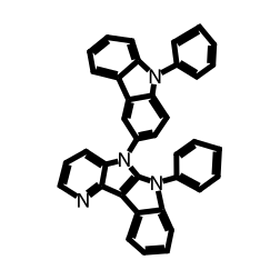 c1ccc(-n2c3ccccc3c3cc(-n4c5cccnc5c5c6ccccc6n(-c6ccccc6)c54)ccc32)cc1